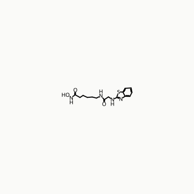 O=C(CCCCCNC(=O)CNc1nc2ccccc2s1)NO